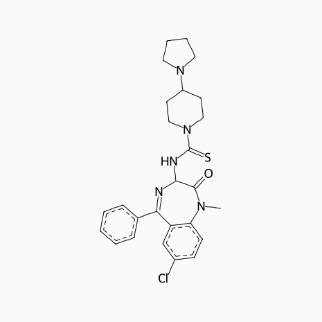 CN1C(=O)C(NC(=S)N2CCC(N3CCCC3)CC2)N=C(c2ccccc2)c2cc(Cl)ccc21